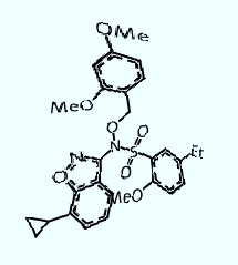 CCc1ccc(OC)c(S(=O)(=O)N(OCc2ccc(OC)cc2OC)c2noc3c(C4CC4)cccc23)c1